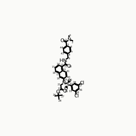 CN(C)C(=O)c1ccc(CNC(=O)c2cccc3cc(N(CC(=O)OC(C)(C)C)S(=O)(=O)c4cc(Cl)cc(Cl)c4)ccc23)cc1